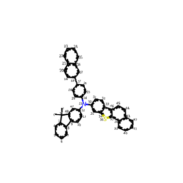 CC1(C)c2ccccc2-c2ccc(N(c3ccc(-c4ccc5ccccc5c4)cc3)c3ccc4c(c3)sc3c5ccccc5ccc43)cc21